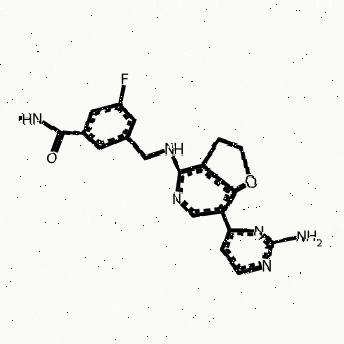 CNC(=O)c1cc(F)cc(CNc2ncc(-c3ccnc(N)n3)c3c2CCO3)c1